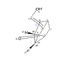 O=C1/C(=C/O)C2CC3[C@@H](C2)[C@H]13